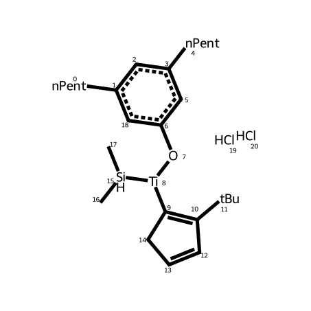 CCCCCc1cc(CCCCC)cc([O][Ti]([C]2=C(C(C)(C)C)C=CC2)[SiH](C)C)c1.Cl.Cl